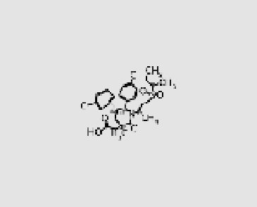 CC[C@@H](C)S(=O)(=O)CC[C@H](C)N1C(=O)[C@](C)(CC(=O)O)C[C@H](c2cccc(Cl)c2)[C@H]1c1ccc(Cl)cc1